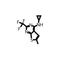 Cc1cc2c(NC3CC3)nc(C(F)(F)F)nc2s1